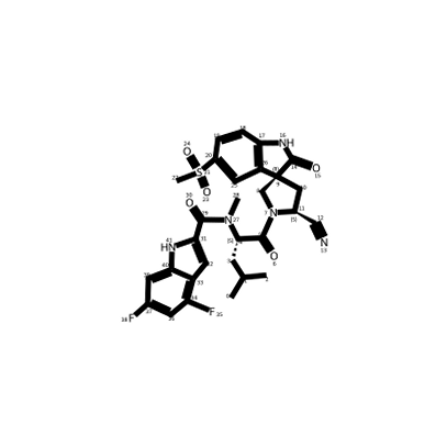 CC(C)C[C@@H](C(=O)N1C[C@]2(C[C@H]1C#N)C(=O)Nc1ccc(S(C)(=O)=O)cc12)N(C)C(=O)c1cc2c(F)cc(F)cc2[nH]1